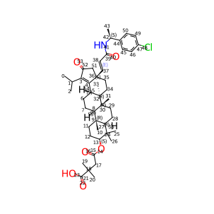 CC(C)C1=C2[C@H]3CC[C@@H]4[C@@]5(C)CC[C@H](OC(=O)CC(C)(C)C(=O)O)C(C)(C)[C@@H]5CC[C@@]4(C)[C@]3(C)CC[C@@]2(/C=C/C(=O)N[C@@H](C)c2ccc(Cl)cc2)CC1=O